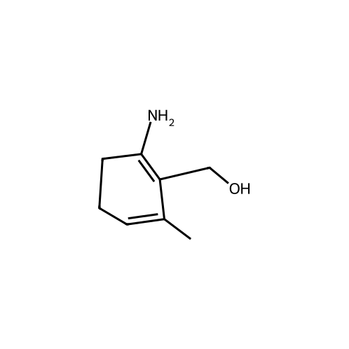 CC1=CCCC(N)=C1CO